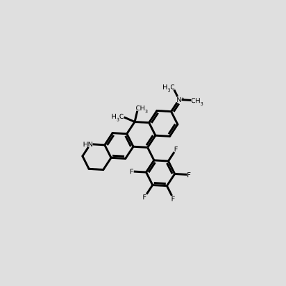 C[N+](C)=C1C=CC2=C(c3c(F)c(F)c(F)c(F)c3F)c3cc4c(cc3C(C)(C)C2=C1)NCCC4